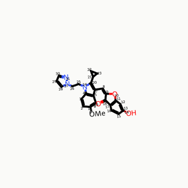 COc1ccc2c(c1)c(C=C1Oc3cc(O)ccc3C1=O)c(C1CC1)n2CCn1cccn1